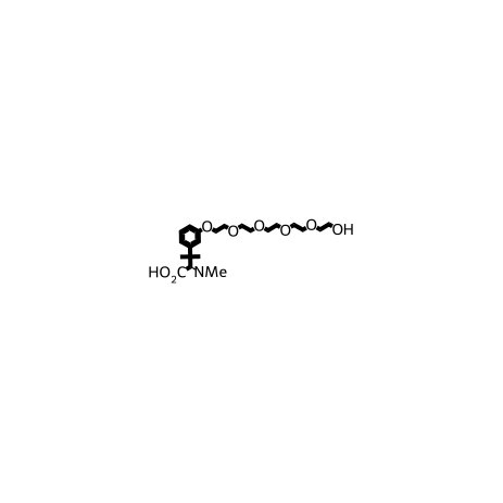 CN[C@H](C(=O)O)C(C)(C)c1cccc(OCCOCCOCCOCCOCCO)c1